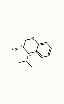 CC(C)[C@H]1c2ccccc2OC[C@H]1O